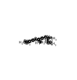 COC(=O)N[C@H](C(=O)N1C[C@@H](OC)C[C@H]1c1nc(-c2ccc(-c3ccc(NC(=O)N4CCN(C5CCN(C(=O)OC(C)(C)C)CC5)CC4)cc3OC(F)(F)F)cc2)c[nH]1)C(C)C